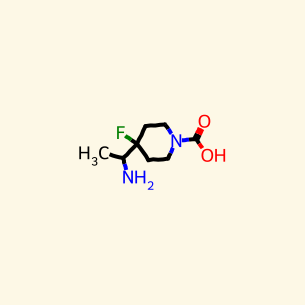 CC(N)C1(F)CCN(C(=O)O)CC1